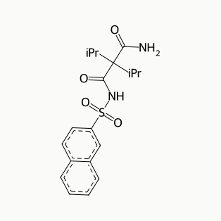 CC(C)C(C(N)=O)(C(=O)NS(=O)(=O)c1ccc2ccccc2c1)C(C)C